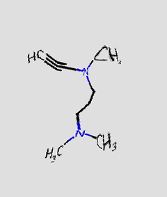 C#CN(C)CCN(C)C